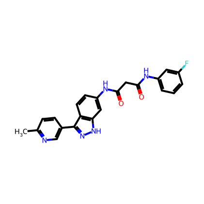 Cc1ccc(-c2n[nH]c3cc(NC(=O)CC(=O)Nc4cccc(F)c4)ccc23)cn1